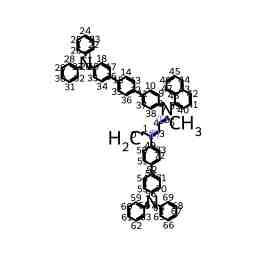 C=C/C(=C\C=C(/C)N(c1ccc(-c2ccc(-c3ccc(N(c4ccccc4)c4ccccc4)cc3)cc2)cc1)c1cccc2ccccc12)c1ccc(-c2ccc(N(c3ccccc3)c3ccccc3)cc2)cc1